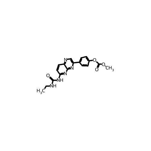 CCNC(=O)Nc1ccc2ncc(-c3ccc(OC(=O)OC)cc3)nc2n1